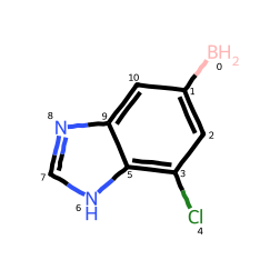 Bc1cc(Cl)c2[nH]cnc2c1